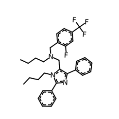 CCCCN(Cc1ccc(C(F)(F)F)cc1F)Cc1c(-c2ccccc2)nc(-c2ccccc2)n1CCCC